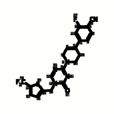 N#Cc1ccc(C2=CCN(c3ncn(Cc4ccc(C(F)(F)F)s4)c(=O)n3)CC2)cc1F